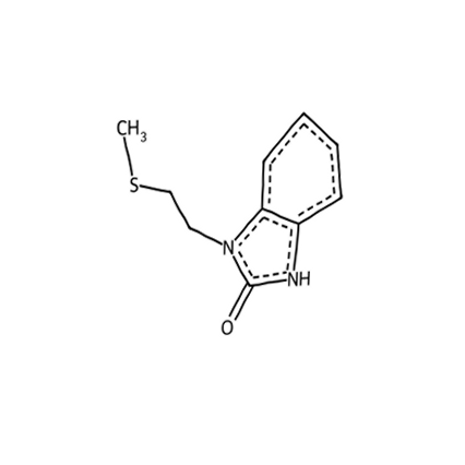 CSCCn1c(=O)[nH]c2ccccc21